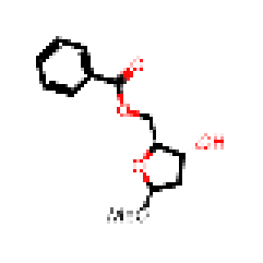 CO[C@@H]1C[C@@H](O)[C@H](COC(=O)c2ccccc2)O1